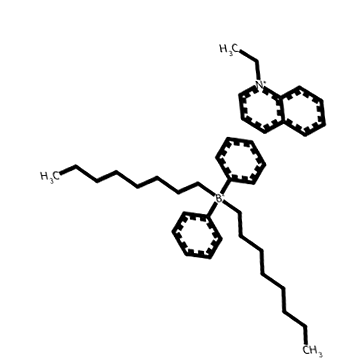 CCCCCCCC[B-](CCCCCCCC)(c1ccccc1)c1ccccc1.CC[n+]1cccc2ccccc21